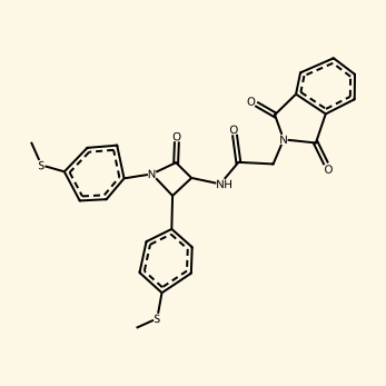 CSc1ccc(C2C(NC(=O)CN3C(=O)c4ccccc4C3=O)C(=O)N2c2ccc(SC)cc2)cc1